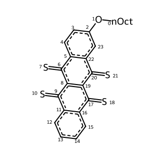 CCCCCCCCOc1ccc2c(=S)c3c(=S)c4ccccc4c(=S)c=3c(=S)c2c1